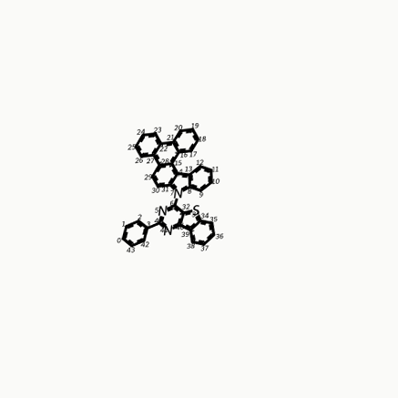 c1ccc(-c2nc(-n3c4ccccc4c4c5c6ccccc6c6ccccc6c5ccc43)c3sc4ccccc4c3n2)cc1